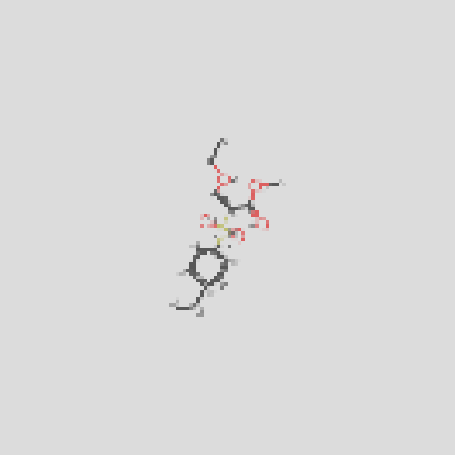 CCO/C=C(\C(=O)OC)S(=O)(=O)c1ccc(CC)cc1